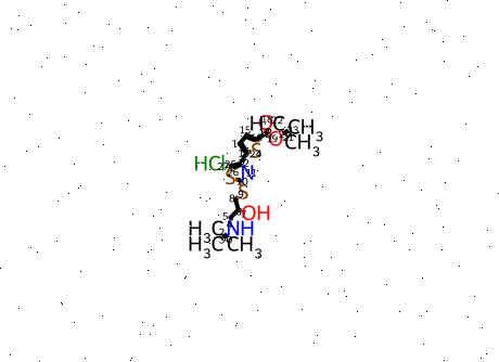 CC(C)(C)NCC(O)CSc1nc(-c2ccc(C(=O)OC(C)(C)C)s2)cs1.Cl